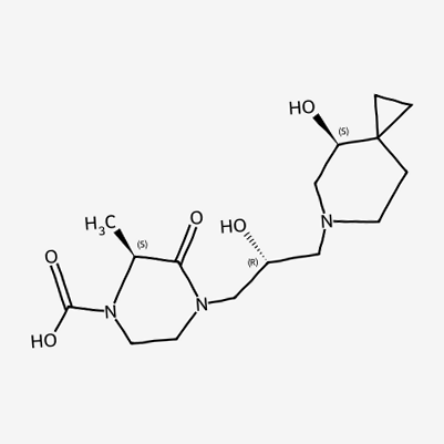 C[C@H]1C(=O)N(C[C@H](O)CN2CCC3(CC3)[C@H](O)C2)CCN1C(=O)O